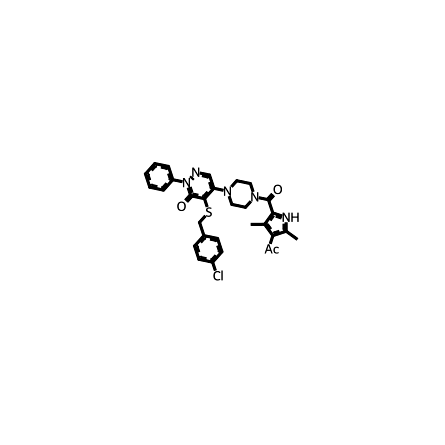 CC(=O)c1c(C)[nH]c(C(=O)N2CCN(c3cnn(-c4ccccc4)c(=O)c3SCc3ccc(Cl)cc3)CC2)c1C